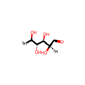 [2H]C(O)[C@@H](O)[C@@H](O)[C@]([2H])(O)C=O